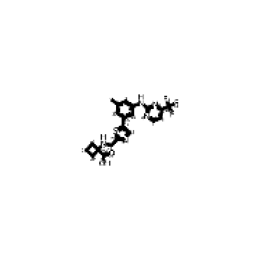 Cc1cc(Nc2nccc(C(F)(F)F)n2)cc(-c2cnc(CNC3(C(=O)O)CCC3)s2)c1